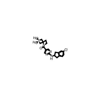 O=C(c1cnc(NC2Cc3ccc(Cl)cc3C2)nc1)N1CCC12CS(O)(O)C2